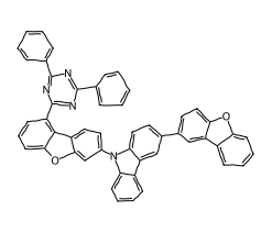 c1ccc(-c2nc(-c3ccccc3)nc(-c3cccc4oc5cc(-n6c7ccccc7c7cc(-c8ccc9oc%10ccccc%10c9c8)ccc76)ccc5c34)n2)cc1